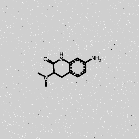 CN(C)C1Cc2ccc(N)cc2NC1=O